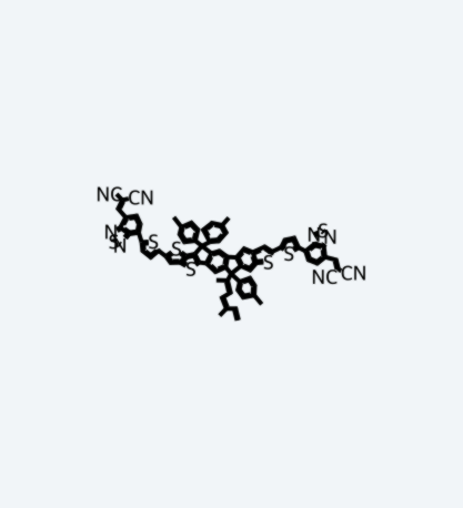 C=C/C(C)=C\C=C(/C)C1(c2ccc(C)cc2)c2cc3c(cc2-c2cc4cc(-c5ccc(-c6ccc(C=C(C#N)C#N)c7nsnc67)s5)sc4cc21)C(c1ccc(C)cc1)(c1ccc(C)cc1)c1c-3sc2cc(-c3ccc(-c4ccc(C=C(C#N)C#N)c5nsnc45)s3)sc12